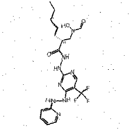 CCCCC[C@H](CN(O)C=O)C(=O)NNc1ncc(C(F)(F)F)c(NNc2ccccn2)n1